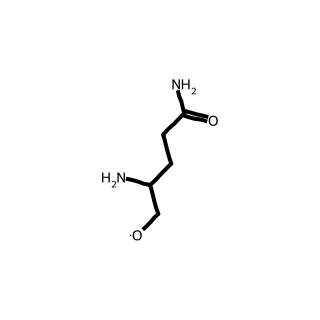 NC(=O)CCC(N)C[O]